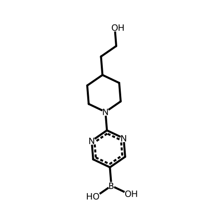 OCCC1CCN(c2ncc(B(O)O)cn2)CC1